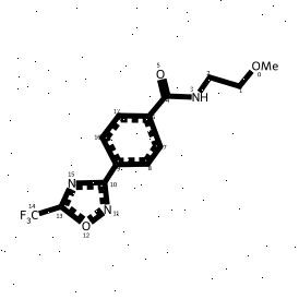 COCCNC(=O)c1ccc(-c2noc(C(F)(F)F)n2)cc1